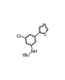 CC(C)(C)Nc1cc(Cl)cc(-c2cncs2)c1